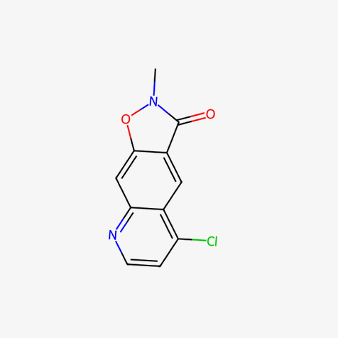 Cn1oc2cc3nccc(Cl)c3cc2c1=O